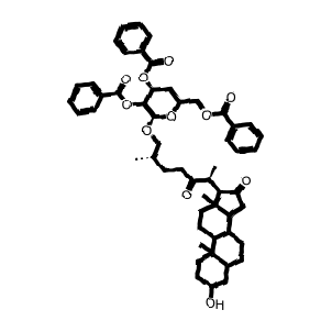 C[C@@H](CCC(=O)[C@@H](C)C1C(=O)CC2C3CCC4CC(O)CCC4(C)C3CCC21C)CO[C@@H]1OC(COC(=O)c2ccccc2)C[C@H](OC(=O)c2ccccc2)C1OC(=O)c1ccccc1